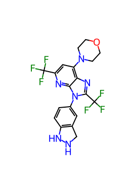 FC(F)(F)c1cc(N2CCOCC2)c2nc(C(F)(F)F)n(-c3ccc4c(c3)CNN4)c2n1